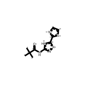 CC(C)(C)C(=O)Nc1nnc(-c2nccs2)[nH]1